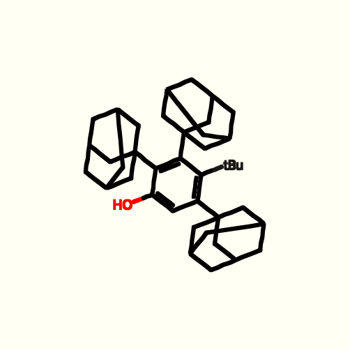 CC(C)(C)c1c(C23CC4CC(CC(C4)C2)C3)cc(O)c(C23CC4CC(CC(C4)C2)C3)c1C12CC3CC(CC(C3)C1)C2